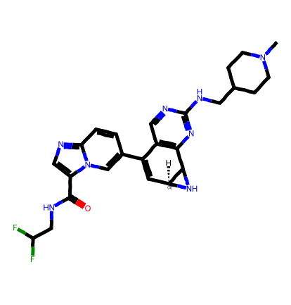 CN1CCC(CNc2ncc3c(n2)C2N[C@H]2C=C3c2ccc3ncc(C(=O)NCC(F)F)n3c2)CC1